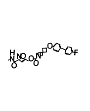 CNC(=O)c1cc(COC(=O)N2CC3(CC(Oc4ccc(-c5ccc(F)cc5)cc4)C3)C2)on1